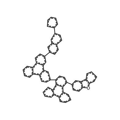 c1ccc(-c2ccc3ccc(-c4ccc5c6ccccc6c6ccc(-c7ccc(-c8ccc9oc%10ccccc%10c9c8)c8c9ccccc9c9ccccc9c78)cc6c5c4)cc3c2)cc1